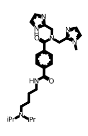 CC(C)N(CCCCNC(=O)c1ccc(C(=O)N(Cc2ncc[nH]2)Cc2nccn2C)cc1)C(C)C